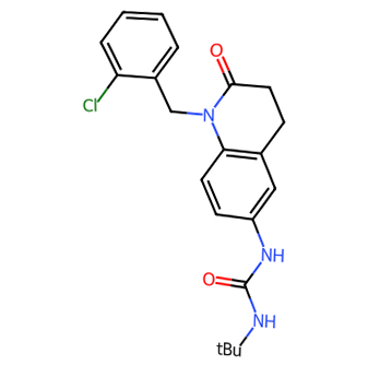 CC(C)(C)NC(=O)Nc1ccc2c(c1)CCC(=O)N2Cc1ccccc1Cl